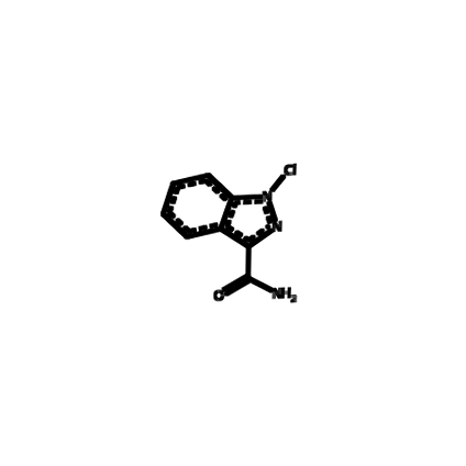 NC(=O)c1nn(Cl)c2ccccc12